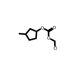 CC1CCC(OC(=O)OCCl)C1